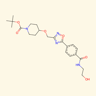 CC(C)(C)OC(=O)N1CCC(OCc2noc(-c3ccc(C(=O)NCCO)cc3)n2)CC1